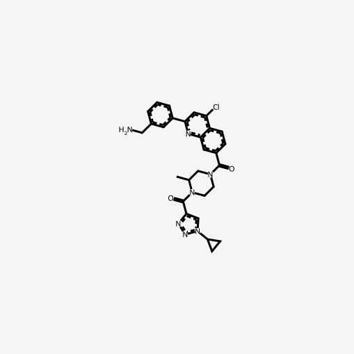 CC1CN(C(=O)c2ccc3c(Cl)cc(-c4cccc(CN)c4)nc3c2)CCN1C(=O)c1cn(C2CC2)nn1